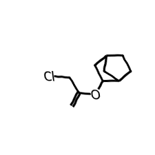 C=C(CCl)OC1CC2CCC1C2